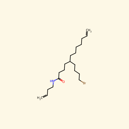 C=CCCCCCC(CCCCBr)CCCC(=O)NCCC=C